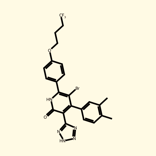 Cc1ccc(-c2c(Br)c(-c3ccc(OCCCC(F)(F)F)cc3)[nH]c(=O)c2-c2nn[nH]n2)cc1C